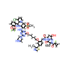 Cc1ncsc1-c1ccc(CNC(=O)[C@@H]2C[C@@H](O)CN2C(=O)[C@@H](NC(=O)C2(F)CC2)C(C)(C)C)c(OCCCCCOc2nc(Nc3cc(S(C)(=O)=O)ccc3N[C@@H](c3cccc4c3OC(F)(F)O4)c3ncccc3Cl)nc(N3CCNCC3)n2)c1